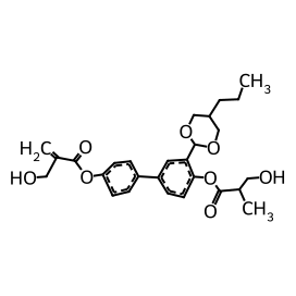 C=C(CO)C(=O)Oc1ccc(-c2ccc(OC(=O)C(C)CO)c(C3OCC(CCC)CO3)c2)cc1